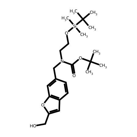 CC(C)(C)OC(=O)N(CCO[Si](C)(C)C(C)(C)C)Cc1ccc2cc(CO)oc2c1